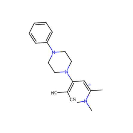 C/C(=C/C(=C(C#N)C#N)N1CCN(c2ccccc2)CC1)N(C)C